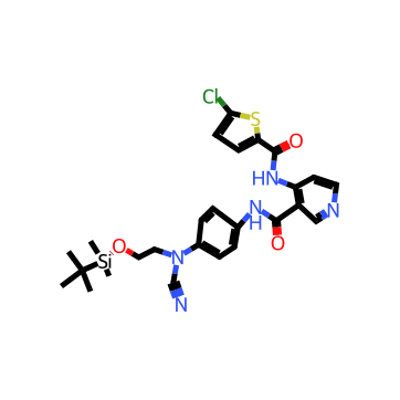 CC(C)(C)[Si](C)(C)OCCN(C#N)c1ccc(NC(=O)c2cnccc2NC(=O)c2ccc(Cl)s2)cc1